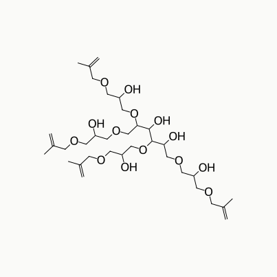 C=C(C)COCC(O)COCC(O)C(OCC(O)COCC(=C)C)C(O)C(COCC(O)COCC(=C)C)OCC(O)COCC(=C)C